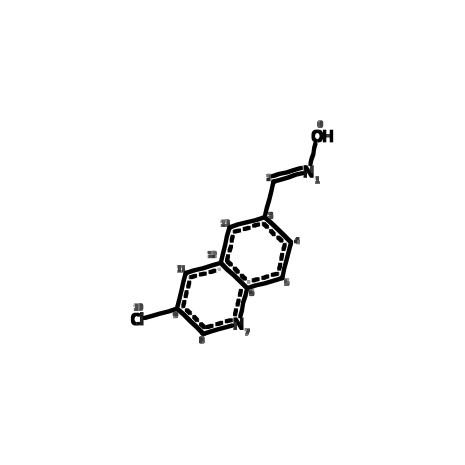 ON=Cc1ccc2ncc(Cl)cc2c1